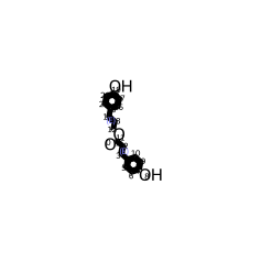 O=C(/C=C/c1ccc(O)cc1)OC/C=C/c1ccc(O)cc1